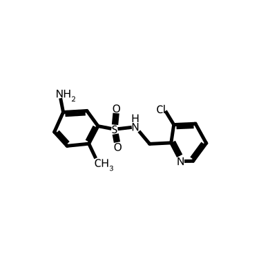 Cc1ccc(N)cc1S(=O)(=O)NCc1ncccc1Cl